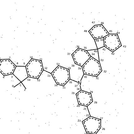 CC1(C)c2ccccc2-c2ccc(-c3ccc(N(c4ccc(-c5ccccc5)cc4)c4ccc5c6c(cccc46)C54c5cccc6cccc4c56)cc3)cc21